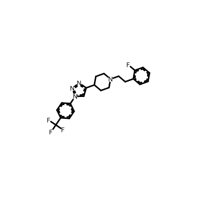 Fc1ccccc1CCN1CCC(c2cn(-c3ccc(C(F)(F)F)cc3)nn2)CC1